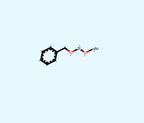 CCCC[O][Zr][O]Cc1ccccc1